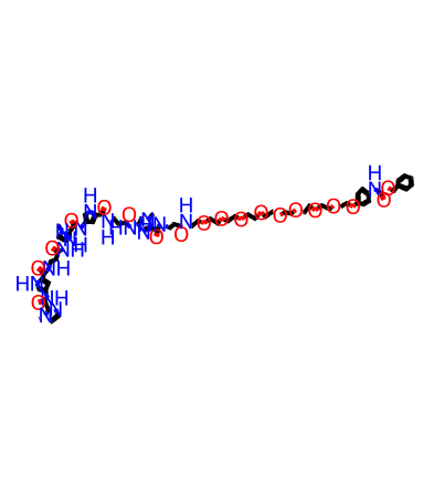 Cn1cc(NC(=O)CCNC(=O)c2cc(NC(=O)c3nc(NC(=O)CCNC(=O)c4cc(NC(=O)c5nccn5C)c[nH]4)cn3C)c[nH]2)nc1C(=O)NCCC(=O)NCCOCCOCCOCCOCCOCCOCCOCCOCCOc1ccc(NC(=O)OCc2ccccc2)cc1